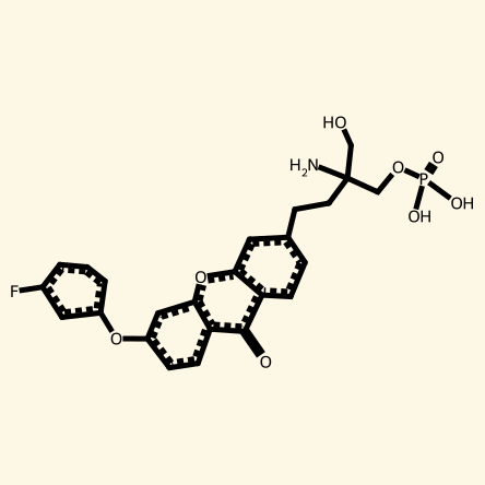 NC(CO)(CCc1ccc2c(=O)c3ccc(Oc4cccc(F)c4)cc3oc2c1)COP(=O)(O)O